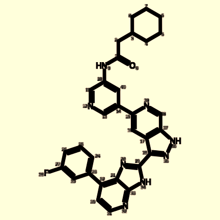 O=C(CC1CCCCC1)Nc1cncc(-c2cc3c(-c4nc5c(-c6cccc(F)c6)ccnc5[nH]4)n[nH]c3cn2)c1